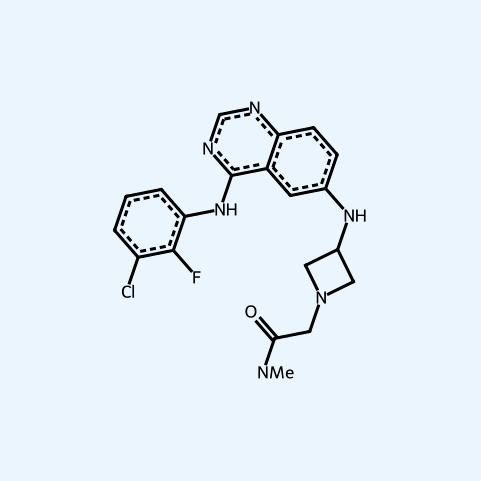 CNC(=O)CN1CC(Nc2ccc3ncnc(Nc4cccc(Cl)c4F)c3c2)C1